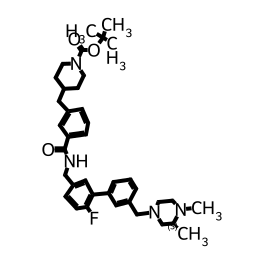 C[C@H]1CN(Cc2cccc(-c3cc(CNC(=O)c4cccc(CC5CCN(C(=O)OC(C)(C)C)CC5)c4)ccc3F)c2)CCN1C